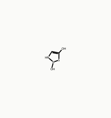 OC1=CNN(O)S1